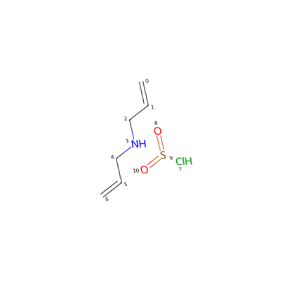 C=CCNCC=C.Cl.O=S=O